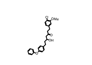 COc1cc(CCC(=O)CC(O)CCc2ccc(Oc3ccccc3)cc2)ccc1Cl